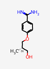 C[C@@H](CO)COc1ccc(C(=N)N)cc1